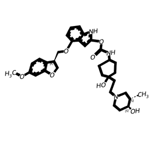 COc1ccc2c(c1)OC[C@@H]2COc1cccc2[nH]c(OC(=O)NC3CCC(O)(CCN4CC[C@H](O)[C@@H](C)C4)CC3)cc12